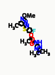 COc1cnc2c(-c3nc4cc(F)c(OC[C@@H](C)OC(=O)Nc5cnc(N(C)C)nc5)cc4s3)cc(C)cc2n1